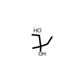 CCC(C)(O)CC.Cl